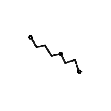 [O]CCCOCC[O]